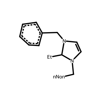 CCCCCCCCCCN1C=CN(Cc2ccccc2)C1CC